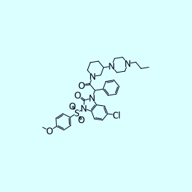 CCCN1CCN(C2CCCN(C(=O)C(c3ccccc3)n3c(=O)n(S(=O)(=O)c4ccc(OC)cc4)c4ccc(Cl)cc43)C2)CC1